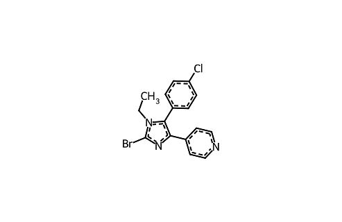 CCn1c(Br)nc(-c2ccncc2)c1-c1ccc(Cl)cc1